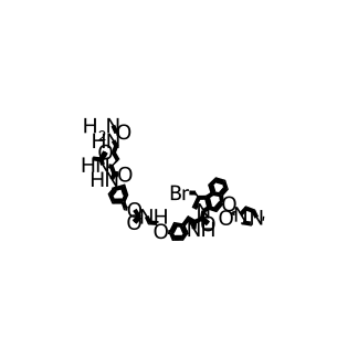 CC(=O)N[C@@H](CCCNC(N)=O)C(=O)Nc1ccc(COC(=O)NCCOc2ccc3[nH]c(C(=O)N4C[C@@H](CBr)c5c4cc(OC(=O)N4CCN(C)CC4)c4ccccc54)cc3c2)cc1